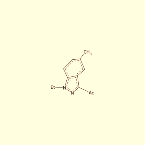 CCn1nc(C(C)=O)c2cc(C)ccc21